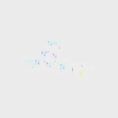 Cc1cc(CN(C)c2nc(N)nc(N)n2)cs1